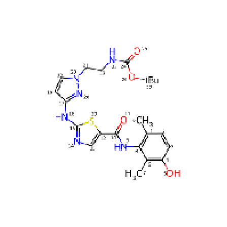 Cc1ccc(O)c(C)c1NC(=O)c1cnc(Nc2ccn(CCNC(=O)OC(C)(C)C)n2)s1